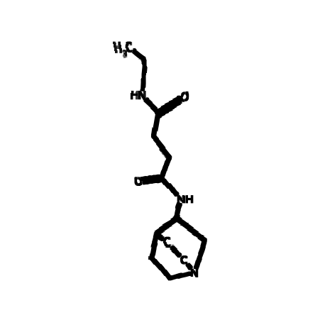 CCNC(=O)CCC(=O)NC1CN2CCC1CC2